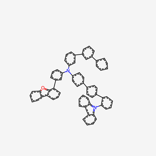 c1ccc(-c2cccc(-c3cccc(N(c4ccc(-c5ccc(-c6ccccc6-n6c7ccccc7c7ccccc76)cc5)cc4)c4cccc(-c5cccc6c5oc5ccccc56)c4)c3)c2)cc1